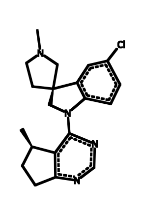 C[C@@H]1CCc2ncnc(N3C[C@]4(CCN(C)C4)c4cc(Cl)ccc43)c21